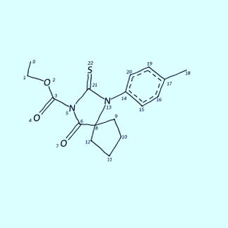 CCOC(=O)N1C(=O)C2(CCCC2)N(c2ccc(C)cc2)C1=S